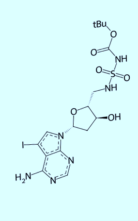 CC(C)(C)OC(=O)NS(=O)(=O)NC[C@H]1O[C@@H](n2cc(I)c3c(N)ncnc32)C[C@@H]1O